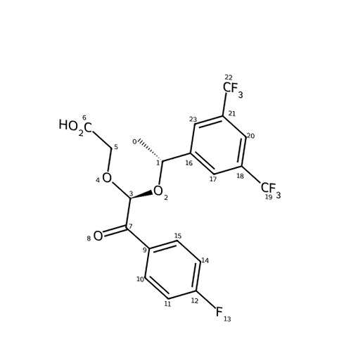 C[C@@H](O[C@H](OCC(=O)O)C(=O)c1ccc(F)cc1)c1cc(C(F)(F)F)cc(C(F)(F)F)c1